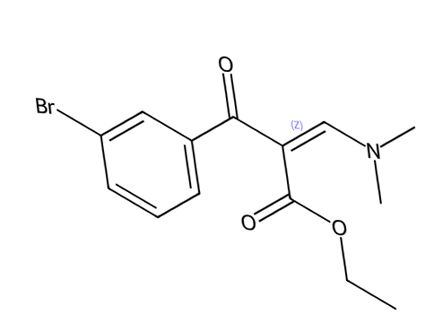 CCOC(=O)/C(=C\N(C)C)C(=O)c1cccc(Br)c1